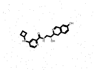 O=C(NC[C@@H](O)C1Cc2ccc(O)cc2C=N1)c1cc(NC2CCC2)ccn1